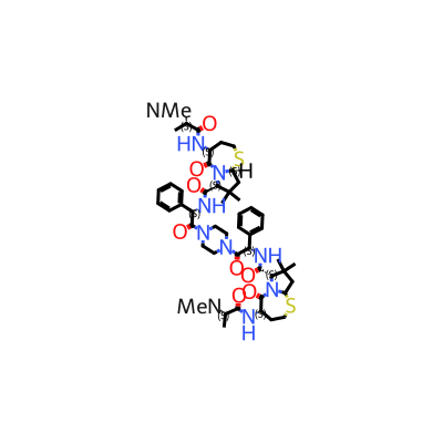 CN[C@@H](C)C(=O)N[C@H]1CCSC2CC(C)(C)[C@@H](C(=O)N[C@H](C(=O)N3CCN(C(=O)[C@@H](NC(=O)[C@H]4N5C(=O)[C@@H](NC(=O)[C@H](C)NC)CCS[C@H]5CC4(C)C)c4ccccc4)CC3)c3ccccc3)N2C1=O